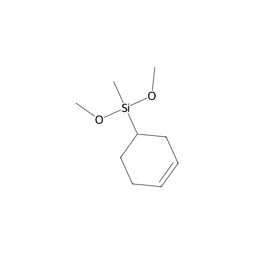 CO[Si](C)(OC)C1CC=CCC1